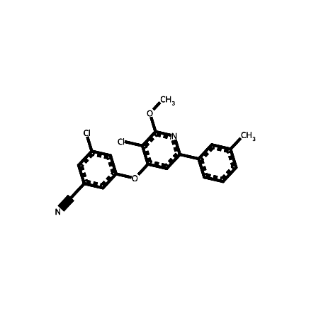 COc1nc(-c2cccc(C)c2)cc(Oc2cc(Cl)cc(C#N)c2)c1Cl